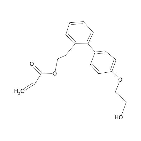 C=CC(=O)OCCc1ccccc1-c1ccc(OCCO)cc1